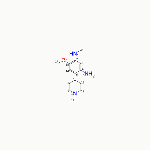 CNc1cc(N)c(C2CCN(C)CC2)cc1OC